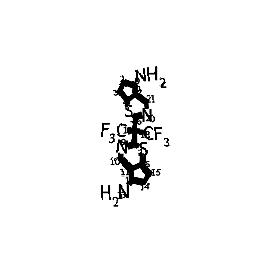 Nc1ccc2sc(C(c3ncc4c(N)ccc-4s3)(C(F)(F)F)C(F)(F)F)ncc1-2